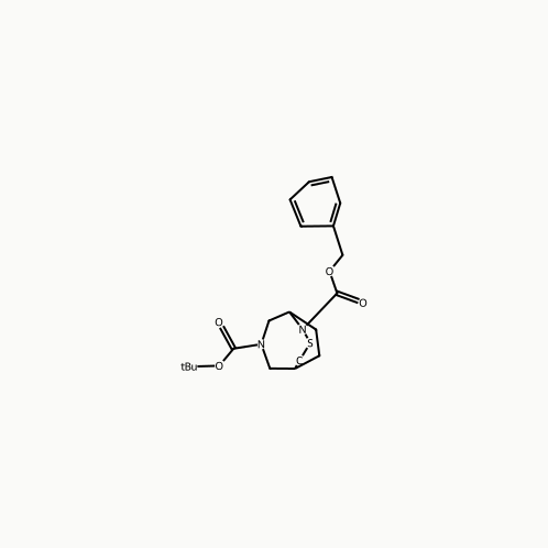 CC(C)(C)OC(=O)N1CC2CCC(C1)N(C(=O)OCc1ccccc1)SC2